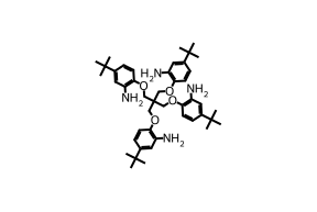 CC(C)(C)c1ccc(OCC(COc2ccc(C(C)(C)C)cc2N)(COc2ccc(C(C)(C)C)cc2N)COc2ccc(C(C)(C)C)cc2N)c(N)c1